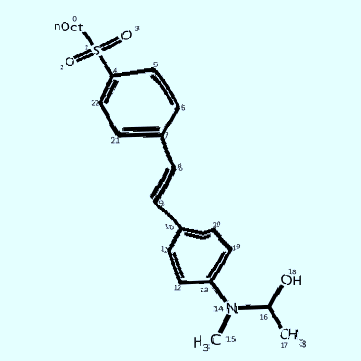 CCCCCCCCS(=O)(=O)c1ccc(C=Cc2ccc(N(C)C(C)O)cc2)cc1